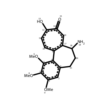 COc1cc2c(c(OC)c1OC)-c1ccc(O)c(=O)cc1C(N)CC2